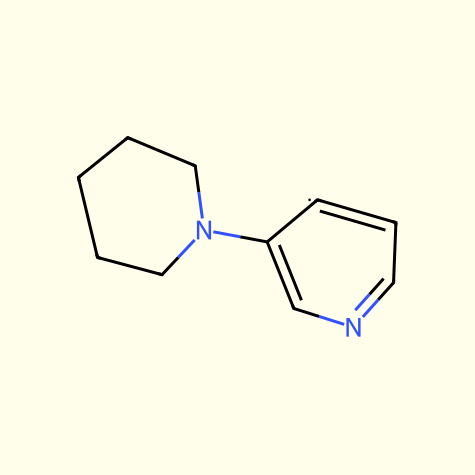 [c]1ccncc1N1CCCCC1